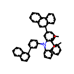 C/C=C\C(=C/C)c1ccccc1N(c1cccc(-c2cccc3ccccc23)c1)c1cc(-c2cc3ccccc3c3ccccc23)ccc1-c1ccccc1